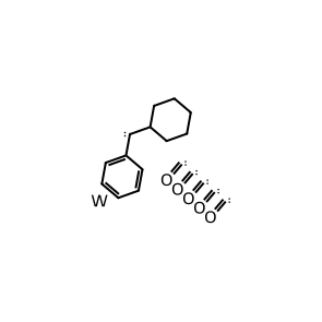 [C](c1ccccc1)C1CCCCC1.[C]=O.[C]=O.[C]=O.[C]=O.[C]=O.[W]